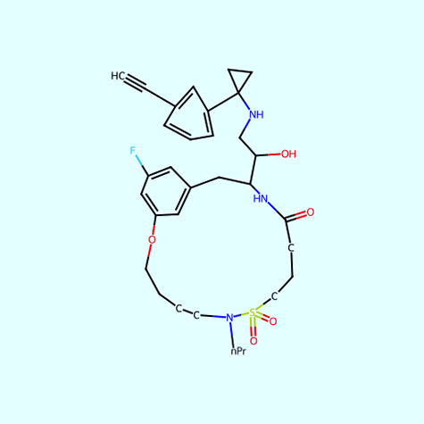 C#Cc1cccc(C2(NCC(O)C3Cc4cc(F)cc(c4)OCCCCN(CCC)S(=O)(=O)CCCC(=O)N3)CC2)c1